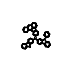 C1=CC2=CC3CC=CC4=C3C(=C2CC1)c1cc(N(c2ccc3c5ccccc5n(-c5ccccc5)c3c2)C2C=c3sc5ccccc5c3=CC2)ccc14